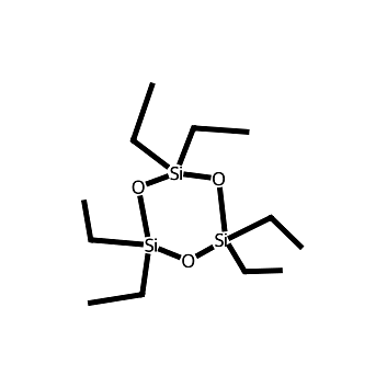 CC[Si]1(CC)O[Si](CC)(CC)O[Si](CC)(CC)O1